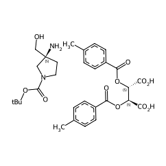 CC(C)(C)OC(=O)N1CC[C@@](N)(CO)C1.Cc1ccc(C(=O)O[C@H](C(=O)O)[C@H](OC(=O)c2ccc(C)cc2)C(=O)O)cc1